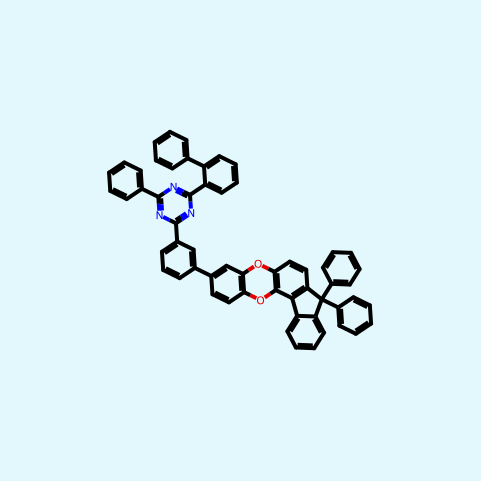 c1ccc(-c2nc(-c3cccc(-c4ccc5c(c4)Oc4ccc6c(c4O5)-c4ccccc4C6(c4ccccc4)c4ccccc4)c3)nc(-c3ccccc3-c3ccccc3)n2)cc1